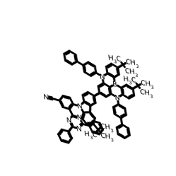 CC(C)(C)c1ccc2c(c1)B1c3cc(C(C)(C)C)ccc3N(c3ccc(-c4ccccc4)cc3)c3cc(-c4ccc5c(c4)c4cc(C(C)(C)C)ccc4n5-c4ccc(C#N)cc4-c4nc(-c5ccccc5)nc(-c5ccccc5)n4)cc(c31)N2c1ccc(-c2ccccc2)cc1